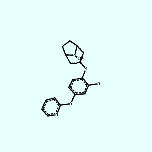 CN1C2CCC1CC(Sc1ccc(Oc3ccccn3)cc1Cl)C2